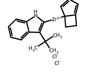 CC(C)(C)c1[c]([Zr+2][C]23C=CC=C2CC3)[nH]c2ccccc12.[Cl-].[Cl-]